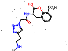 CC(C)NCCc1cn(CC(=O)NC2Cc3cccc(C(=O)O)c3OB2O)nn1